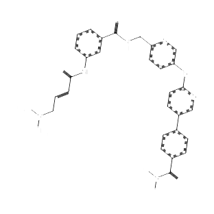 CN(C)C/C=C/C(=O)Nc1cccc(C(=O)NCc2ccc(Nc3ccc(-c4ccc(C(=O)N(C)C)cc4)cn3)cn2)c1